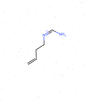 C=CCC/N=C\N